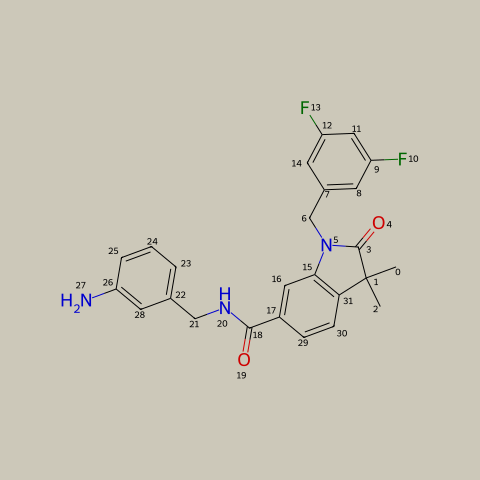 CC1(C)C(=O)N(Cc2cc(F)cc(F)c2)c2cc(C(=O)NCc3cccc(N)c3)ccc21